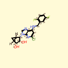 O[C@@H]1[C@H](O)[C@@H]2C[C@@H]2[C@H]1n1cnc2c(NCc3cc(F)ccc3F)cc(Cl)nc21